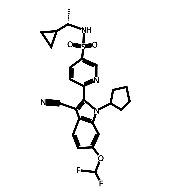 C[C@H](NS(=O)(=O)c1ccc(-c2c(C#N)c3ccc(OC(F)F)cc3n2C2CCCC2)nc1)C1CC1